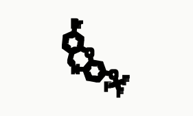 FC(F)(F)Oc1ccc2c(c1)Oc1cc(Br)ccc1C=N2